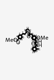 COC(=O)c1ccc(C=CC2CCCN2C(=O)Cc2ccc(NC(=O)Nc3ccccc3C)c(OC)c2)cc1